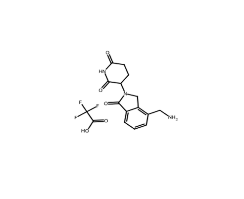 NCc1cccc2c1CN(C1CCC(=O)NC1=O)C2=O.O=C(O)C(F)(F)F